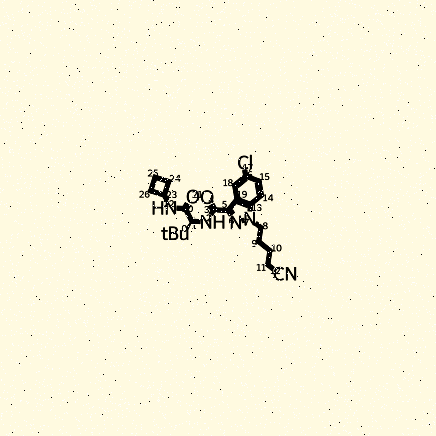 CC(C)(C)[C@H](NC(=O)c1nn(CCCCC#N)c2ccc(Cl)cc12)C(=O)NC1CCC1